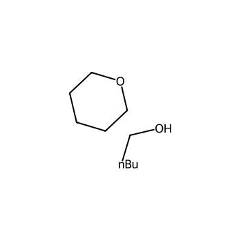 C1CCOCC1.CCCCCO